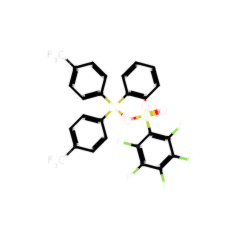 O=S(=O)(OS(c1ccccc1)(c1ccc(C(F)(F)F)cc1)c1ccc(C(F)(F)F)cc1)c1c(F)c(F)c(F)c(F)c1F